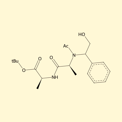 CC(=O)N(C(CO)c1ccccc1)[C@@H](C)C(=O)N[C@@H](C)C(=O)OC(C)(C)C